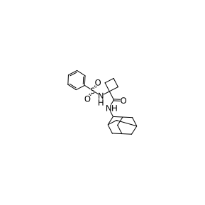 O=C(NC1C2CC3CC(C2)CC1C3)C1(NS(=O)(=O)c2ccccc2)CCC1